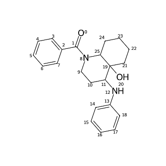 O=C(c1ccccc1)N1CCC(Nc2ccccc2)C2(O)CCCCC12